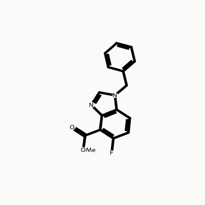 COC(=O)c1c(F)ccc2c1ncn2Cc1ccccc1